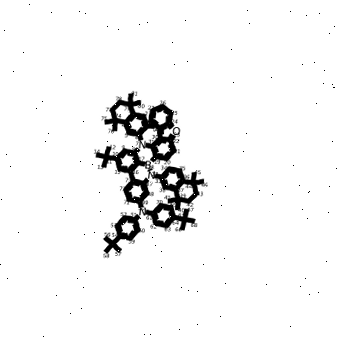 Cc1cc2c(cc1N1c3cc(C(C)(C)C)cc4c3B(c3ccc5oc6ccccc6c5c31)N(c1ccc3c(c1)C(C)(C)CCC3(C)C)c1cc(N(c3ccc(C(C)(C)C)cc3)c3ccc(C(C)(C)C)cc3)ccc1-4)C(C)(C)CCC2(C)C